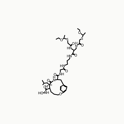 CCOC(C)SCC(=O)NCC(NC(=O)CSC(C)OCC)C(=O)NCCCNC(=O)CNC(=O)C1Cc2ccc(cc2)OCCCC(C(=O)NO)[C@@H](CC(C)C)C(=O)N1